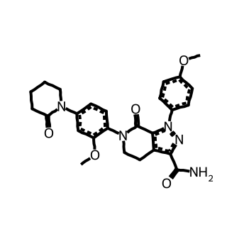 COc1ccc(-n2nc(C(N)=O)c3c2C(=O)N(c2ccc(N4CCCCC4=O)cc2OC)CC3)cc1